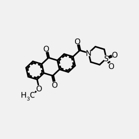 COc1cccc2c1C(=O)c1ccc(C(=O)N3CCS(=O)(=O)CC3)cc1C2=O